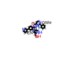 COc1cccc(F)c1-c1nccc(C(=O)Nc2ccc(-c3cnccc3C#N)cc2N2C[C@]3(CO)C[C@H]2CN3)n1